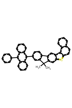 CC1(C)c2cc(-c3c4ccccc4c(-c4ccccc4)c4ccccc34)ccc2-c2cc3c(cc21)sc1ccc2ccccc2c13